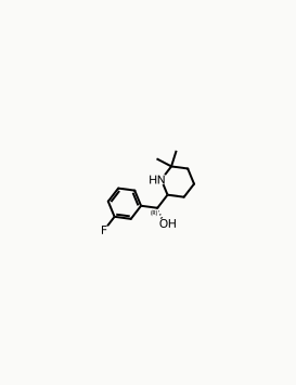 CC1(C)CCCC([C@H](O)c2cccc(F)c2)N1